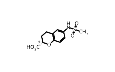 CS(=O)(=O)Nc1ccc2c(c1)CC[C@@H](C(=O)O)O2